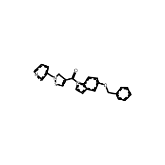 O=C(C1=CSN(c2cccnc2)C1)n1ccc2cc(OCc3ccccc3)ccc21